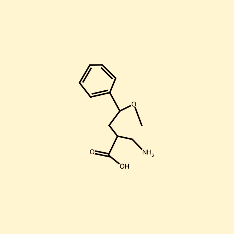 COC(CC(CN)C(=O)O)c1ccccc1